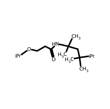 CC(C)OCCC(=O)NC(C)(C)CC(C)(C)C(C)C